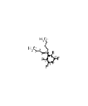 CCCCN(CCCC)c1c(F)c(F)[c]c(F)c1F